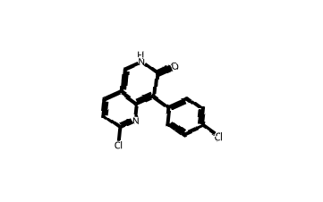 O=c1[nH]cc2ccc(Cl)nc2c1-c1ccc(Cl)cc1